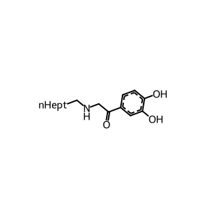 CCCCCCCCNCC(=O)c1ccc(O)c(O)c1